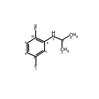 CC(C)Nc1cc(F)ccc1F